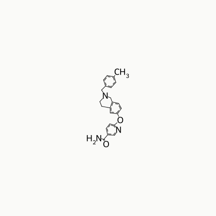 Cc1ccc(CN2CCc3cc(Oc4ccc(C(N)=O)cn4)ccc3C2)cc1